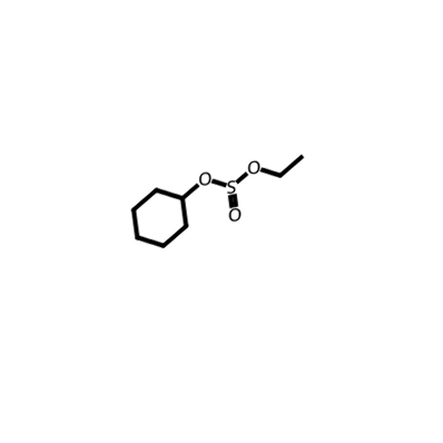 CCOS(=O)OC1CCCCC1